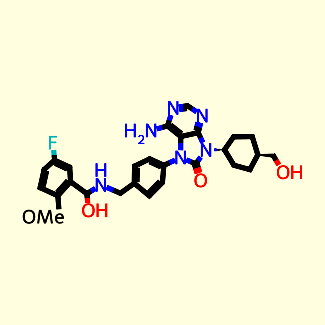 COc1ccc(F)cc1C(O)NCc1ccc(-n2c(=O)n([C@H]3CC[C@H](CO)CC3)c3ncnc(N)c32)cc1